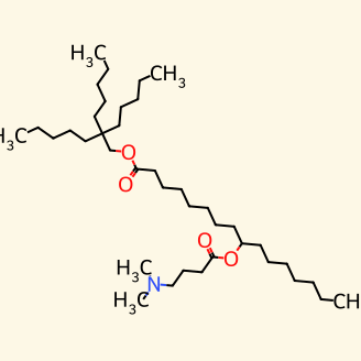 CCCCCCCC(CCCCCCCC(=O)OCC(CCCCC)(CCCCC)CCCCC)OC(=O)CCCN(C)C